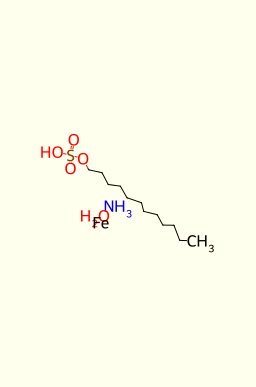 CCCCCCCCCCCCOS(=O)(=O)O.N.O.[Fe]